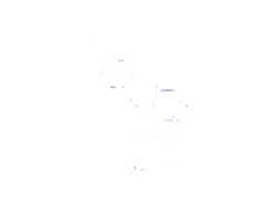 COC(=O)c1cn2ncnc(Nc3ccc(Br)cc3F)c2c1C